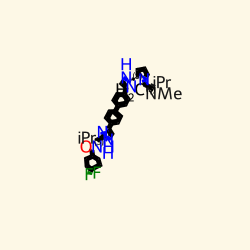 C=C([C@@H](NC)C(C)C)N1CCC[C@H]1c1nc(-c2ccc(-c3ccc(-c4c[nH]c([C@@H](NC(=O)C5CCC(F)(F)CC5)C(C)C)n4)cc3)cc2)c[nH]1